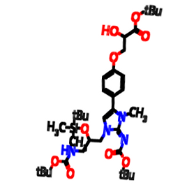 Cn1c(-c2ccc(OCC(O)C(=O)OC(C)(C)C)cc2)cn(CC(CNC(=O)OC(C)(C)C)O[Si](C)(C)C(C)(C)C)/c1=N\C(=O)OC(C)(C)C